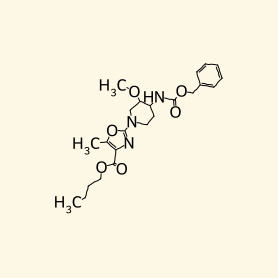 CCCCOC(=O)c1nc(N2CCC(NC(=O)OCc3ccccc3)C(OC)C2)oc1C